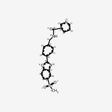 CS(=O)(=O)c1ccc2oc(-c3ccc(CNC(=O)c4cccnc4)cc3)nc2c1